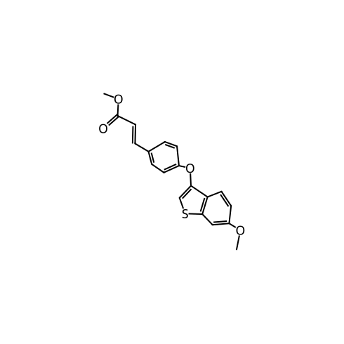 COC(=O)C=Cc1ccc(Oc2csc3cc(OC)ccc23)cc1